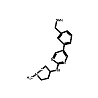 CNCc1cccc(-c2cnc(NC3CCN(C)CC3)nc2)c1